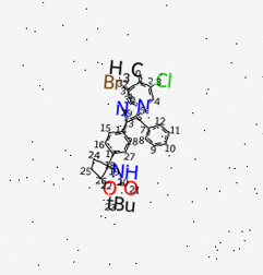 Cc1c(Cl)cn2c(-c3ccccc3)c(-c3ccc(C4(NC(=O)OC(C)(C)C)CCC4)cc3)nc2c1Br